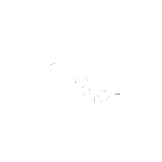 CC(=O)NC1CCC(F)(c2nnc(-c3cnc(-c4ccc5cc(C#N)cnn45)cc3NC3COC3)s2)CC1